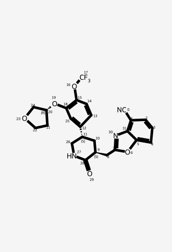 N#Cc1cccc2oc(C[C@@H]3C[C@@H](c4ccc(OC(F)(F)F)c(O[C@@H]5CCOC5)c4)CNC3=O)nc12